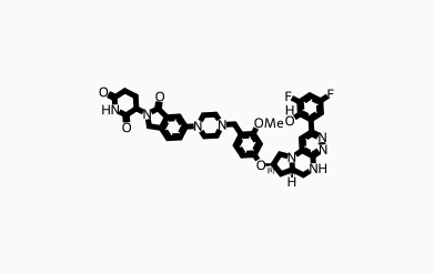 COc1cc(O[C@@H]2C[C@@H]3CNc4nnc(-c5cc(F)cc(F)c5O)cc4N3C2)ccc1CN1CCN(c2ccc3c(c2)C(=O)N(C2CCC(=O)NC2=O)C3)CC1